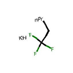 CCCCC(F)(F)F.[KH]